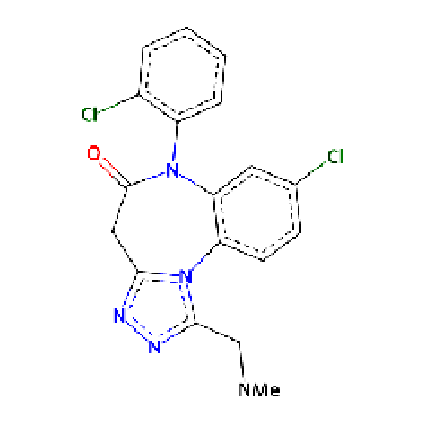 CNCc1nnc2n1-c1ccc(Cl)cc1N(c1ccccc1Cl)C(=O)C2